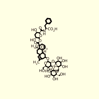 C=C1CC23CC[C@H]4[C@@](C)(CCC[C@@]4(C)C(=O)OC4O[C@H](C(=O)N[C@H](Cc5ccccc5)C(=O)O)[C@@H](O)C[C@H]4O)[C@@H]2CC(O[C@@H]2O[C@H](CO)[C@@H](O)C(O[C@@H]4O[C@H](CO)[C@@H](O)[C@H](O)[C@H]4O)[C@H]2O[C@@H]2O[C@H](CO)[C@@H](O)[C@H](O)[C@H]2O)C1C3